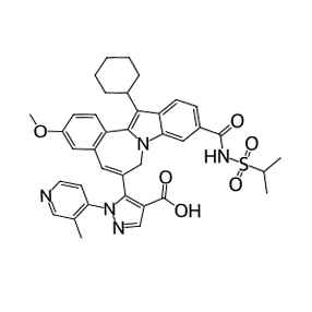 COc1ccc2c(c1)C=C(c1c(C(=O)O)cnn1-c1ccncc1C)Cn1c-2c(C2CCCCC2)c2ccc(C(=O)NS(=O)(=O)C(C)C)cc21